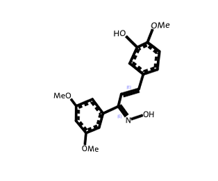 COc1cc(OC)cc(C(/C=C/c2ccc(OC)c(O)c2)=N/O)c1